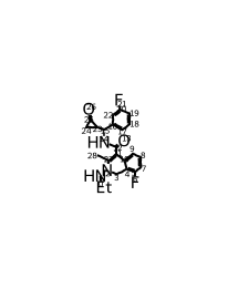 CCNN1Cc2c(F)cccc2C(C(=O)N[C@H](c2cccc(F)c2)C2CC2=O)=C1C